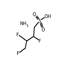 N.O=S(=O)(O)CC(F)C(F)CF